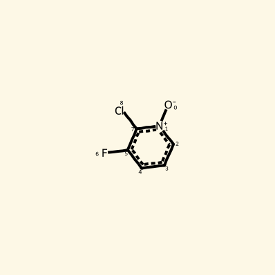 [O-][n+]1cccc(F)c1Cl